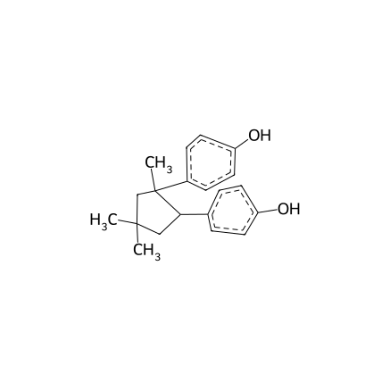 CC1(C)CC(c2ccc(O)cc2)C(C)(c2ccc(O)cc2)C1